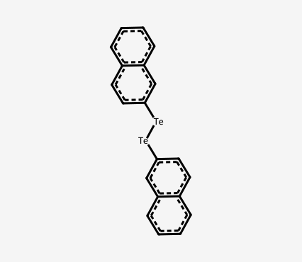 c1ccc2cc([Te][Te]c3ccc4ccccc4c3)ccc2c1